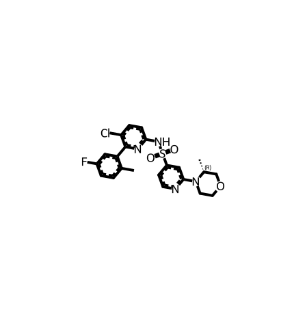 Cc1ccc(F)cc1-c1nc(NS(=O)(=O)c2ccnc(N3CCOC[C@H]3C)c2)ccc1Cl